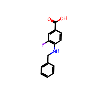 O=C(O)c1ccc(NCc2ccccc2)c(I)c1